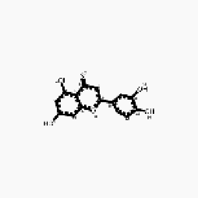 Oc1cc(O)c2c(=S)cc(-c3ccc(O)c(O)c3)oc2c1